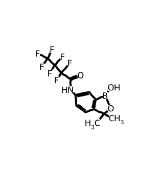 CC1(C)OB(O)c2cc(NC(=O)C(F)(F)C(F)(F)C(F)(F)F)ccc21